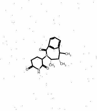 CC1c2cccc(c2)C(=O)N(C2CCC(=O)NC2=O)[C@@H](C)[C@H]1C